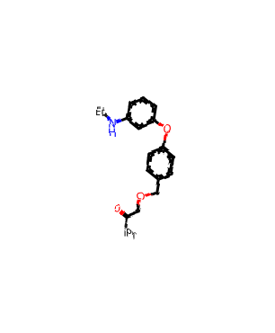 CCNc1cccc(Oc2ccc(COCC(=O)C(C)C)cc2)c1